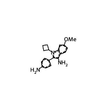 COc1ccc2c(N)c(-c3ccc(N)cc3)n(C3CCC3)c2c1